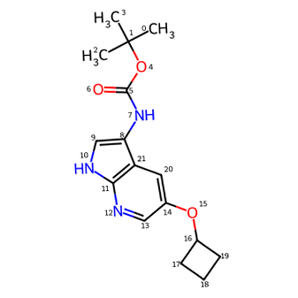 CC(C)(C)OC(=O)Nc1c[nH]c2ncc(OC3CCC3)cc12